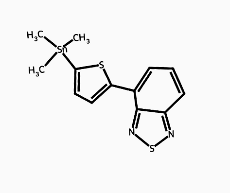 [CH3][Sn]([CH3])([CH3])[c]1ccc(-c2cccc3nsnc23)s1